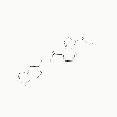 CCc1nc2c(C(=O)NCc3ccc4[nH]ncc4c3)cccn2c1C(=O)NC(C)C